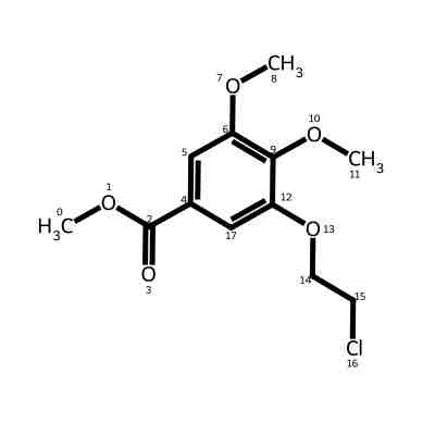 COC(=O)c1cc(OC)c(OC)c(OCCCl)c1